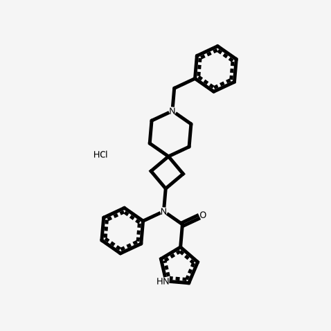 Cl.O=C(c1cc[nH]c1)N(c1ccccc1)C1CC2(CCN(Cc3ccccc3)CC2)C1